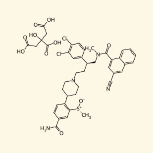 CN(C[C@@H](CCN1CCC(c2ccc(C(N)=O)cc2[S@@+](C)[O-])CC1)c1ccc(Cl)c(Cl)c1)C(=O)c1cc(C#N)cc2ccccc12.O=C(O)CC(O)(CC(=O)O)C(=O)O